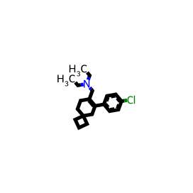 CCN(CC)CC1=C(c2ccc(Cl)cc2)CC2(CCC2)CC1